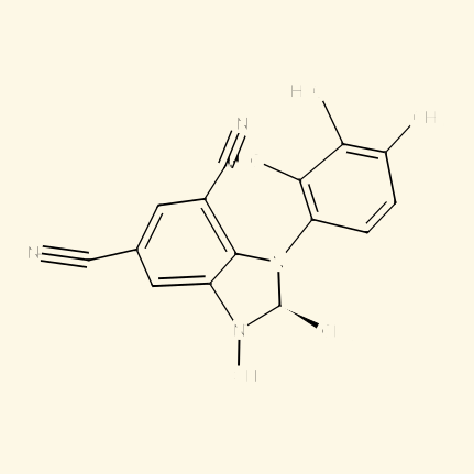 Cc1ccc(N2c3c(C#N)cc(C#N)cc3N(C)[C@@H]2C)c(C)c1C